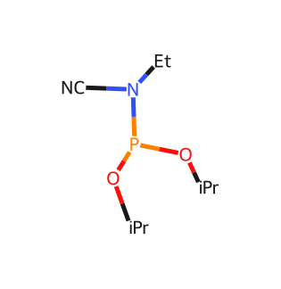 CCN(C#N)P(OC(C)C)OC(C)C